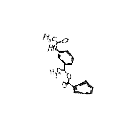 CC(=O)Nc1cccc(C(C)OC(=O)c2ccccc2)c1